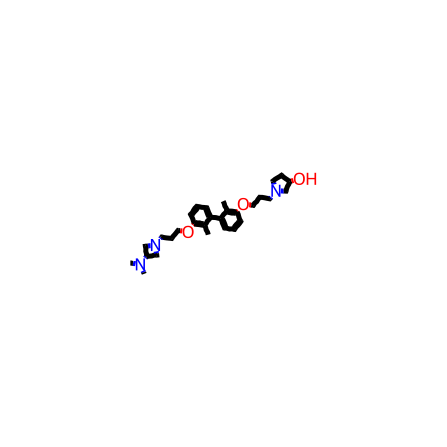 Cc1c(OCCCN2CCC(O)C2)cccc1-c1cccc(OCCCN2CC(N(C)C)C2)c1C